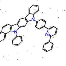 c1ccc(-c2cccc(-c3ccc(-n4c5ccccc5c5cc6c7ccc8ccccc8c7n(-c7ccccc7)c6cc54)cc3)n2)cc1